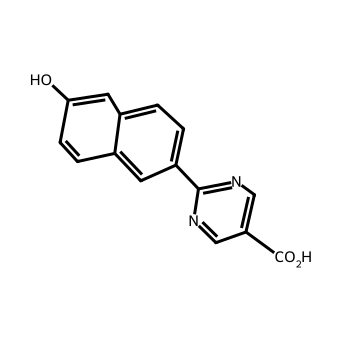 O=C(O)c1cnc(-c2ccc3cc(O)ccc3c2)nc1